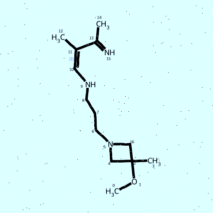 COC1(C)CN(CCCN/C=C(/C)C(C)=N)C1